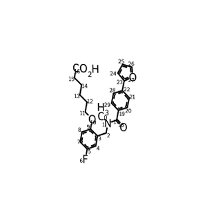 CN(Cc1cc(F)ccc1OCCCCCC(=O)O)C(=O)c1ccc(-c2ccco2)cc1